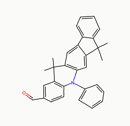 CC1(C)c2ccccc2-c2cc3c(cc21)N(c1ccccc1)c1ccc(C=O)cc1C3(C)C